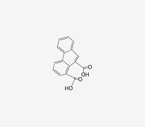 O=C(O)c1cccc2c1c(C(=O)O)cc1ccccc12